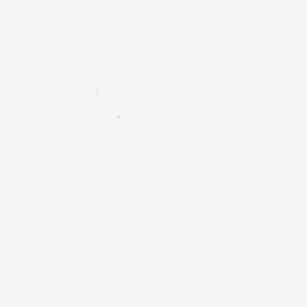 Cc1ccc([Si](Cl)(Cl)Cl)cc1Br